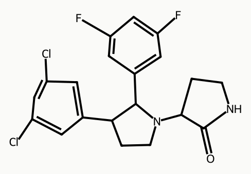 O=C1NCCC1N1CCC(c2cc(Cl)cc(Cl)c2)C1c1cc(F)cc(F)c1